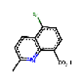 Cc1ccc2c(Br)ccc(C(=O)O)c2n1